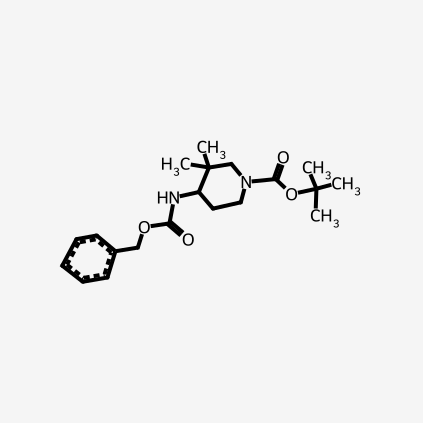 CC(C)(C)OC(=O)N1CCC(NC(=O)OCc2ccccc2)C(C)(C)C1